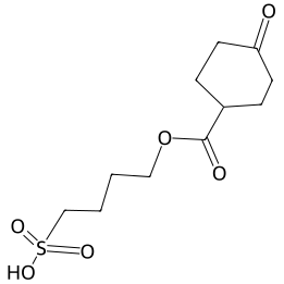 O=C1CCC(C(=O)OCCCCS(=O)(=O)O)CC1